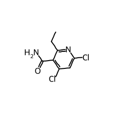 CCc1nc(Cl)cc(Cl)c1C(N)=O